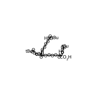 CC(C)(C)OC(=O)COc1ccc(CC(NC(=O)CCOCCOCCOCCOCCNC(=O)C(Cc2ccc(OCC(=O)OC(C)(C)C)cc2)NC(=O)CCOCCOCCOCCOCCNC(=O)OC(C)(C)C)C(=O)O)cc1